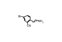 N#Cc1cc(Br)ccc1N=NN